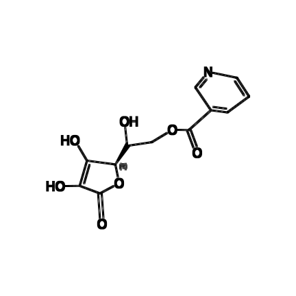 O=C1O[C@H](C(O)COC(=O)c2cccnc2)C(O)=C1O